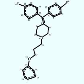 Fc1ccc(C(=C2CCN(CCCOc3ccccc3)CC2)c2ccc(F)cc2)cc1